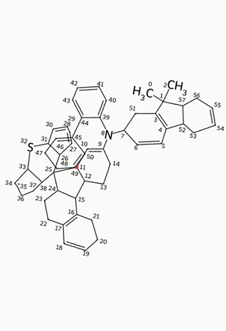 CC1(C)C2=C(C=CC(N(C3=CC4C(CC3)C3C5=C(C=CCC5)CCC3C43C4C=CC=CC4SC4C=CCCC43)c3ccccc3C3=CCCC=C3)C2)C2CC=CCC21